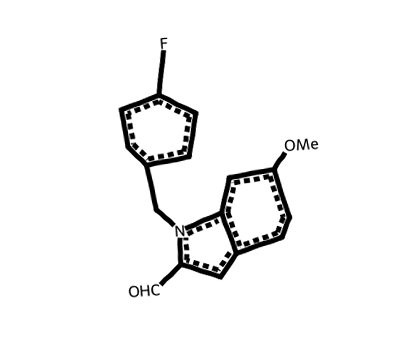 COc1ccc2cc(C=O)n(Cc3ccc(F)cc3)c2c1